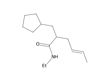 C/C=C/CC(CC1CCCC1)C(=O)NCC